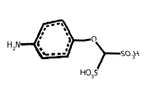 Nc1ccc(OC(S(=O)(=O)O)S(=O)(=O)O)cc1